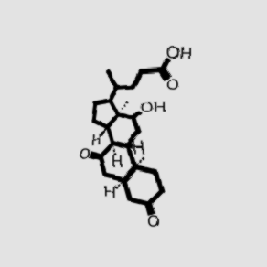 CC(CCC(=O)O)C1CC[C@H]2[C@@H]3C(=O)C[C@@H]4CC(=O)CC[C@]4(C)[C@H]3CC(O)[C@]12C